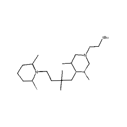 CC1CN(CCC(C)(C)C)CC(C)C1CC(C)(C)CCN1C(C)CCCC1C